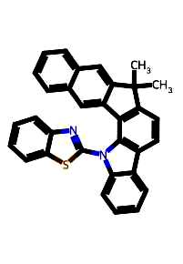 CC1(C)c2cc3ccccc3cc2-c2c1ccc1c3ccccc3n(-c3nc4ccccc4s3)c21